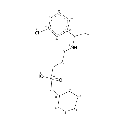 CC(NCCCP(=O)(O)CC1CCCCC1)c1cccc(Cl)c1